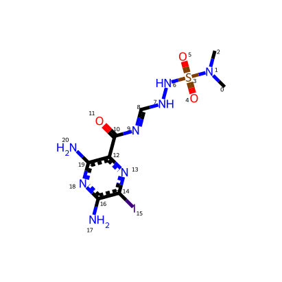 CN(C)S(=O)(=O)NNC=NC(=O)c1nc(I)c(N)nc1N